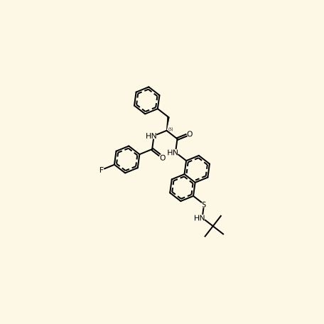 CC(C)(C)NSc1cccc2c(NC(=O)[C@H](Cc3ccccc3)NC(=O)c3ccc(F)cc3)cccc12